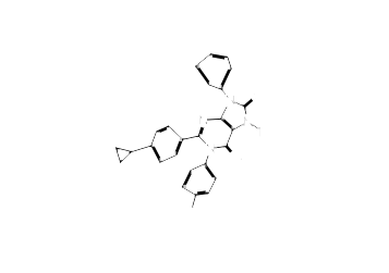 CCn1c(=O)n(-c2ccccc2)c2nc(-c3ccc(C4CC4)cc3)n(-c3ccc(Cl)cc3)c(=O)c21